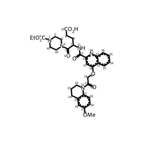 CCOC(=O)N1CCN(C(=O)C(CCC(=O)O)NC(=O)c2cc(OCC(=O)N3CCCc4cc(OC)ccc43)c3ccccc3n2)CC1